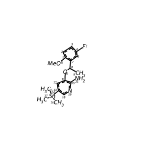 COc1ccc(F)cc1C(C)Oc1c[c]([Sn]([CH3])([CH3])[CH3])cnc1N